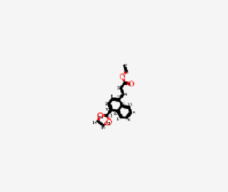 CCOC(=O)CCc1ccc(C2OCCO2)c2ccccc12